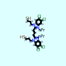 CCCN1C(=CC=Cc2n(CCC)c3cc(Cl)c(Cl)cc3[n+]2CCCS)N(CCCS)c2cc(Cl)c(Cl)cc21